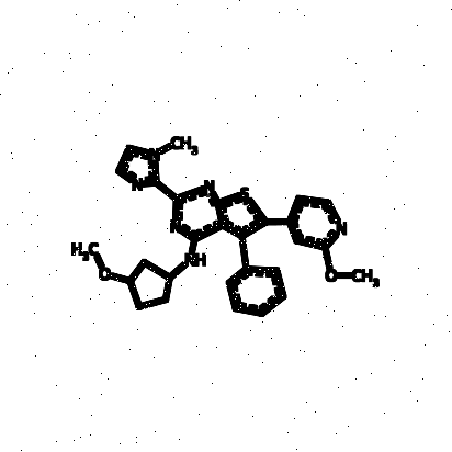 COc1cc(-c2sc3nc(-c4nccn4C)nc(NC4CCC(OC)C4)c3c2-c2ccccc2)ccn1